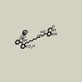 O=C(NC(c1ccccc1)c1cccc(C(=O)O)c1CCCCCCCCNC[C@H](O)c1ccc(O)c2[nH]c(=O)ccc12)O[C@H]1CN2CCC1CC2